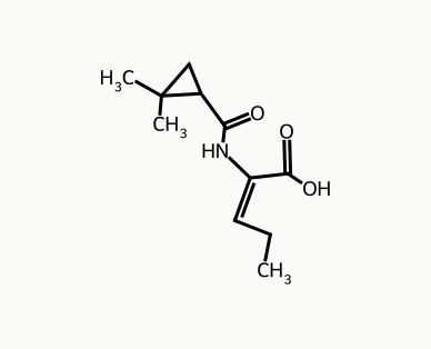 CCC=C(NC(=O)C1CC1(C)C)C(=O)O